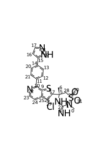 CN1C(=N)N[C@](C)(c2sc3c(-c4ccc(-c5ccn[nH]5)cc4)nccc3c2Cl)CS1(=O)=O